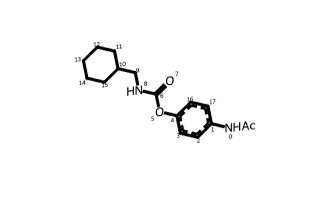 CC(=O)Nc1ccc(OC(=O)NCC2CCCCC2)cc1